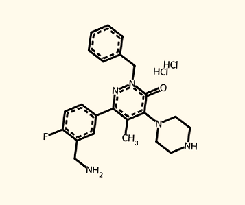 Cc1c(-c2ccc(F)c(CN)c2)nn(Cc2ccccc2)c(=O)c1N1CCNCC1.Cl.Cl